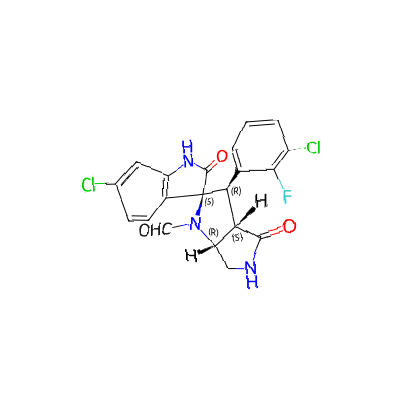 O=CN1[C@H]2CNC(=O)[C@H]2[C@H](c2cccc(Cl)c2F)[C@]12C(=O)Nc1cc(Cl)ccc12